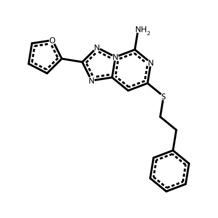 Nc1nc(SCCc2ccccc2)cc2nc(-c3ccco3)nn12